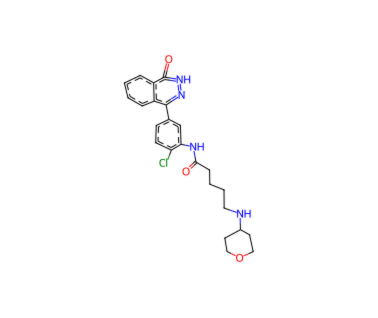 O=C(CCCCNC1CCOCC1)Nc1cc(-c2n[nH]c(=O)c3ccccc23)ccc1Cl